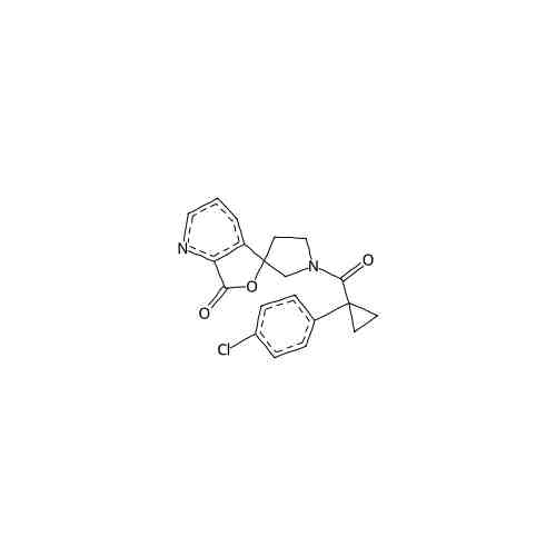 O=C1OC2(CCN(C(=O)C3(c4ccc(Cl)cc4)CC3)C2)c2cccnc21